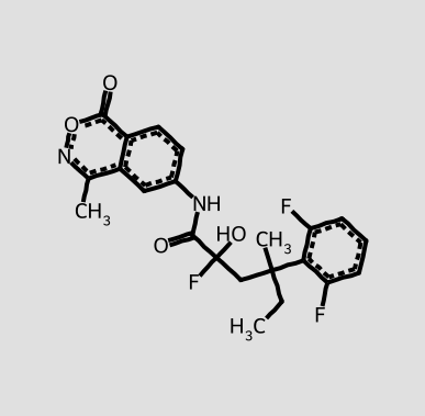 CCC(C)(CC(O)(F)C(=O)Nc1ccc2c(=O)onc(C)c2c1)c1c(F)cccc1F